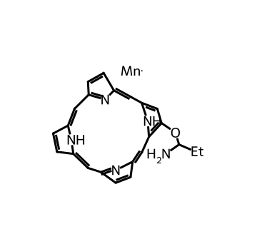 CCC(N)Oc1cc2cc3nc(cc4ccc(cc5nc(cc1[nH]2)C=C5)[nH]4)C=C3.[Mn]